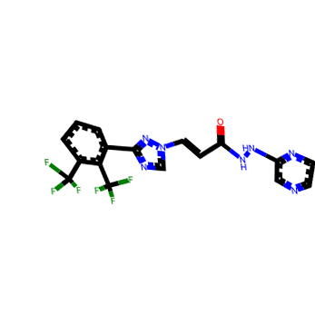 O=C(C=Cn1cnc(-c2cccc(C(F)(F)F)c2C(F)(F)F)n1)NNc1cnccn1